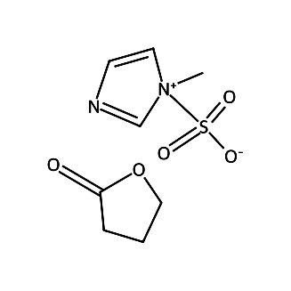 C[N+]1(S(=O)(=O)[O-])C=CN=C1.O=C1CCCO1